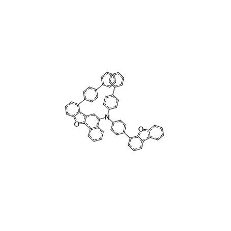 c1ccc(-c2ccc(-c3cccc4oc5c6ccccc6c(N(c6ccc(-c7ccccc7)cc6)c6ccc(-c7cccc8c7oc7ccccc78)cc6)cc5c34)cc2)cc1